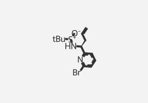 C=CC[C@H](N[S+]([O-])C(C)(C)C)c1cccc(Br)n1